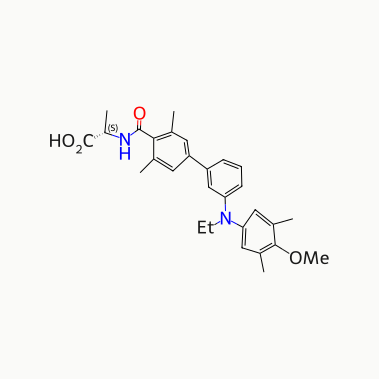 CCN(c1cccc(-c2cc(C)c(C(=O)N[C@@H](C)C(=O)O)c(C)c2)c1)c1cc(C)c(OC)c(C)c1